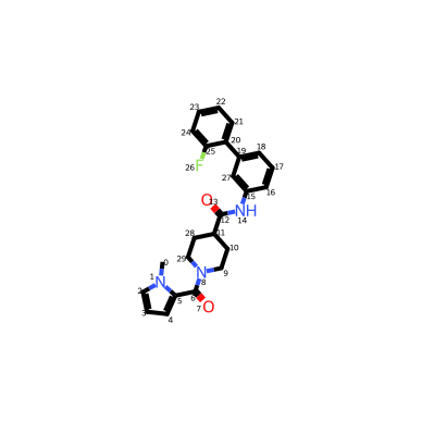 Cn1cccc1C(=O)N1CCC(C(=O)Nc2cccc(-c3ccccc3F)c2)CC1